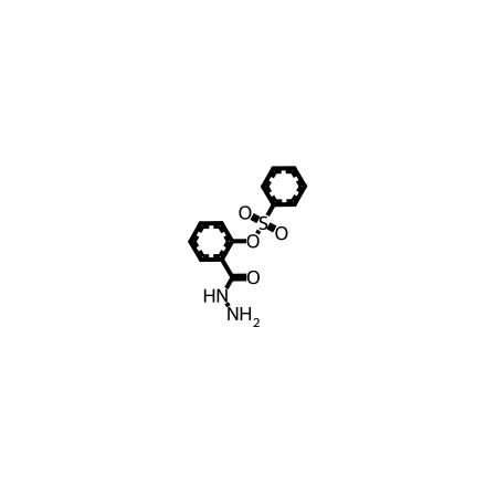 NNC(=O)c1ccccc1OS(=O)(=O)c1ccccc1